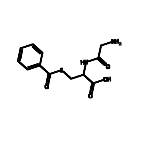 NCC(=O)NC(CSC(=O)c1ccccc1)C(=O)O